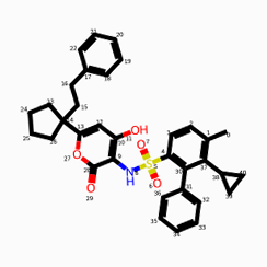 Cc1ccc(S(=O)(=O)Nc2c(O)cc(C3(CCc4ccccc4)CCCC3)oc2=O)c(-c2ccccc2)c1C1CC1